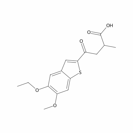 CCOc1cc2cc(C(=O)CC(C)C(=O)O)sc2cc1OC